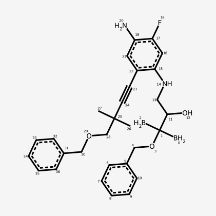 BC(B)(OCc1ccccc1)C(O)CNc1cc(F)c(N)cc1C#CC(C)(C)COCc1ccccc1